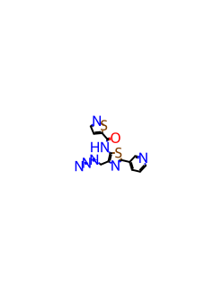 [N-]=[N+]=NCc1nc(-c2cccnc2)sc1NC(=O)c1ccns1